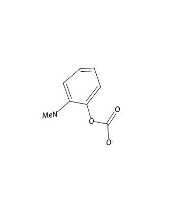 CNc1ccccc1OC([O])=O